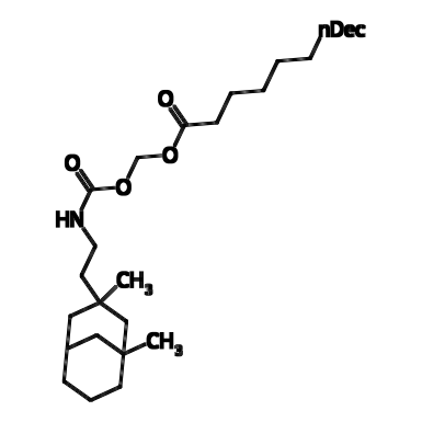 CCCCCCCCCCCCCCCC(=O)OCOC(=O)NCCC1(C)CC2CCCC(C)(C2)C1